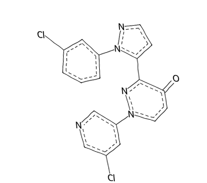 O=c1ccn(-c2cncc(Cl)c2)nc1-c1ccnn1-c1cccc(Cl)c1